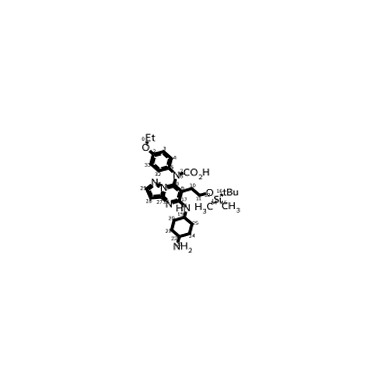 CCOc1ccc(N(C(=O)O)c2c(CCO[Si](C)(C)C(C)(C)C)c(NC3CCC(N)CC3)nc3ccnn23)cc1